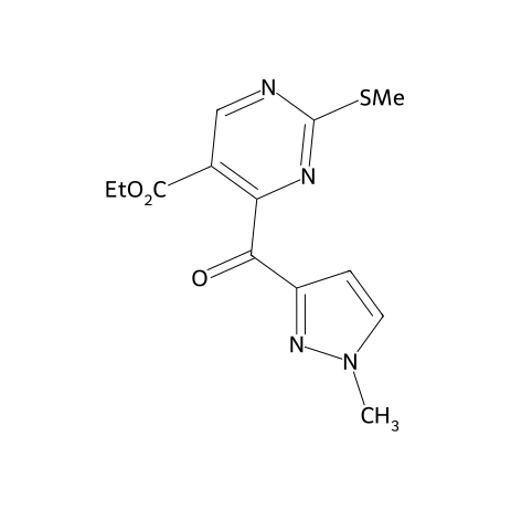 CCOC(=O)c1cnc(SC)nc1C(=O)c1ccn(C)n1